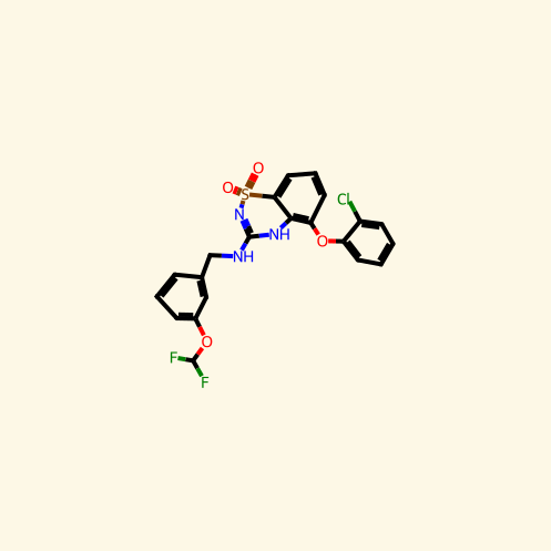 O=S1(=O)N=C(NCc2cccc(OC(F)F)c2)Nc2c(Oc3ccccc3Cl)cccc21